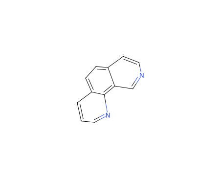 [c]1cncc2c1ccc1cccnc12